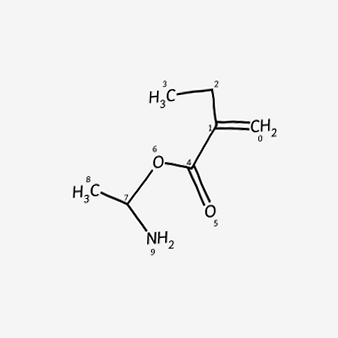 C=C(CC)C(=O)OC(C)N